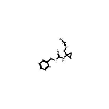 [N-]=[N+]=NCC1(NC(=O)OCc2ccccc2)CC1